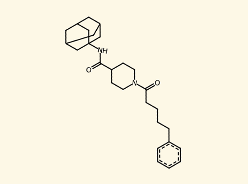 O=C(NC12CC3CC(CC(C3)C1)C2)C1CCN(C(=O)CCCCc2ccccc2)CC1